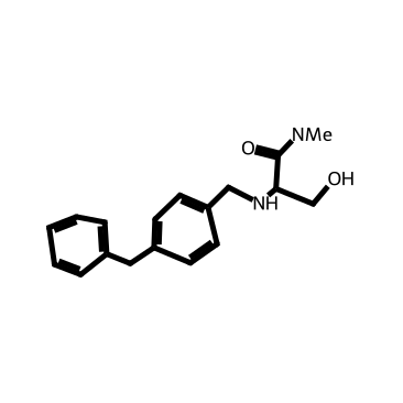 CNC(=O)C(CO)NCc1ccc(Cc2ccccc2)cc1